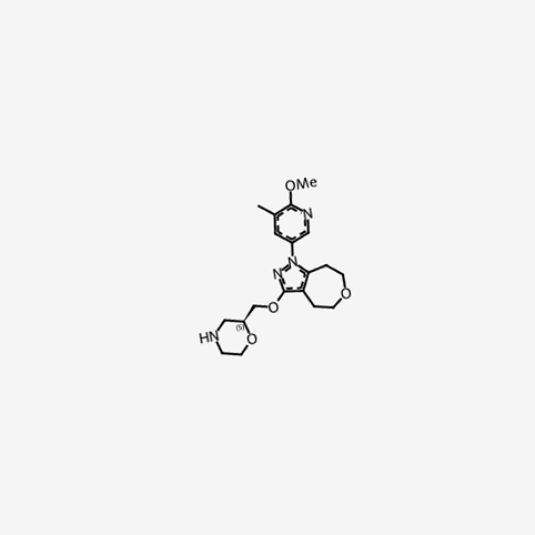 COc1ncc(-n2nc(OC[C@@H]3CNCCO3)c3c2CCOCC3)cc1C